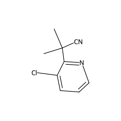 CC(C)(C#N)c1ncccc1Cl